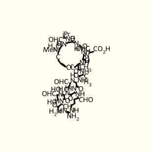 CN[C@@]1(C)CCC/C=C\CCC[C@@](C)(C(=O)N[C@@H](C)C(=O)N[C@@H](N[C@@H](C=O)CC(=O)O)C(=O)N[C@H](N[C@@H](C=O)CCCNC(=N)N)C(=O)N[C@@H](N[C@@H](C=O)CO)C(=O)N[C@@H](C)C(N)=O)NC(=O)[C@H](N[C@@H](C=O)CC(=O)O)NC(=O)CNC(=O)[C@H](N[C@@H](C=O)C(C)C)NC1=O